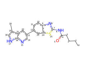 CCCCC(=O)Nc1nc2ccc(-c3cnc4[nH]cc(C)c4c3)cc2s1